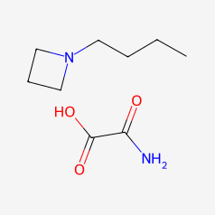 CCCCN1CCC1.NC(=O)C(=O)O